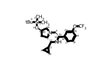 CC(C)(C)[Si](C)(C)O[C@@H]1CCN(C[C@@H](NCC2CC2)c2cccc(OC(F)(F)F)c2)C1